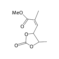 COC(=O)C(C)=CC1OC(=O)OC1C